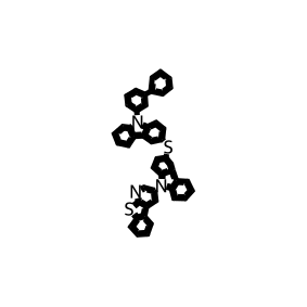 c1ccc(-c2cccc(-n3c4ccccc4c4cc(Sc5ccc6c(c5)c5ccccc5n6-c5cnc6sc7ccccc7c6c5)ccc43)c2)cc1